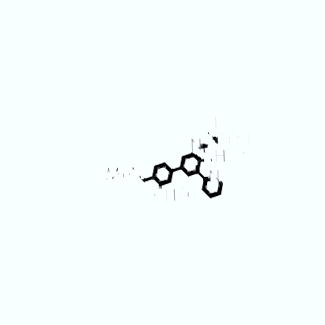 CCOC(=O)Nc1nc2cc(-c3ccc(CNC)c(C=O)c3)cc(-c3ccccn3)c2[nH]1